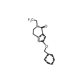 O=C1c2cc(OCc3ccccc3)nn2CCN1CC(F)(F)F